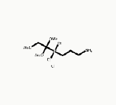 CC[N+](CC)(CCC[SiH3])C(COC)(OC)OC.[Cl-]